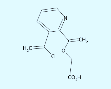 C=C(Cl)c1cccnc1C(=C)OCC(=O)O